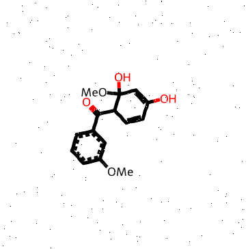 COc1cccc(C(=O)C2C=CC(O)=CC2(O)OC)c1